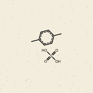 Cc1ccc(C)cc1.O=S(=O)(O)O